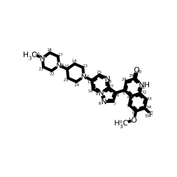 COc1cc2c(-c3cnn4cc(N5CCC(N6CCN(C)CC6)CC5)cnc34)cc(=O)[nH]c2cc1F